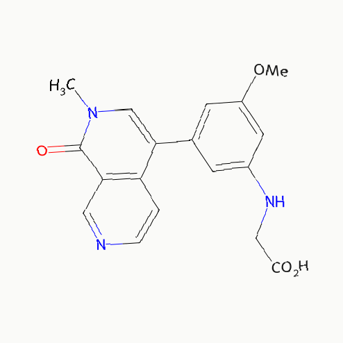 COc1cc(NCC(=O)O)cc(-c2cn(C)c(=O)c3cnccc23)c1